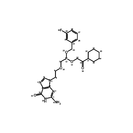 Nc1nc2c(ncn2CCOCP(OCC(=O)C2CCCCC2)OCc2cccc(F)c2)c(=O)[nH]1